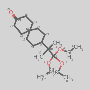 C[SiH2]OC(O[SiH2]C)(O[SiH2]C)C(C)(C)C1CCC2(CCC(=O)CC2)CC1